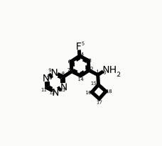 NC(c1cc(F)cc(-c2nncnn2)c1)C1CCC1